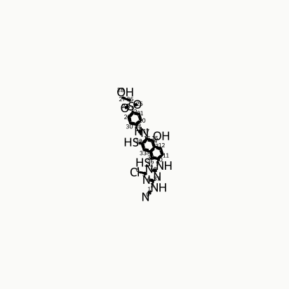 N#CNc1nc(Cl)nc(Nc2ccc3c(O)c(/N=N/c4ccc(S(=O)(=O)CCO)cc4)c(S)cc3c2S)n1